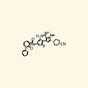 C=Nn1c(/C(N)=N\C)c(-c2ccc(NC(=O)c3cccn(-c4ccccc4)c3=O)cc2F)cc1[C@H]1CC[C@@H](C#N)CC1